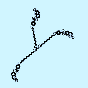 O=C(Oc1ccc2ccc(=O)oc2c1)c1ccc(OCCCCCCCCCCCOCC(COCCCCCCCCCCCOc2ccc(C(=O)Oc3ccc4ccc(=O)oc4c3)cc2)OCCCCCCCCCCCOc2ccc(C(=O)Oc3ccc4ccc(=O)oc4c3)cc2)cc1